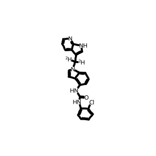 [2H]C([2H])(c1c[nH]c2ncccc12)n1ccc2c(NC(=O)Nc3ccccc3Cl)cccc21